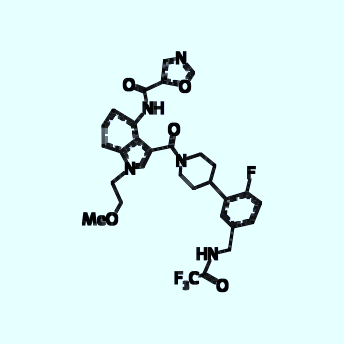 COCCn1cc(C(=O)N2CCC(c3cc(CNC(=O)C(F)(F)F)ccc3F)CC2)c2c(NC(=O)c3cnco3)cccc21